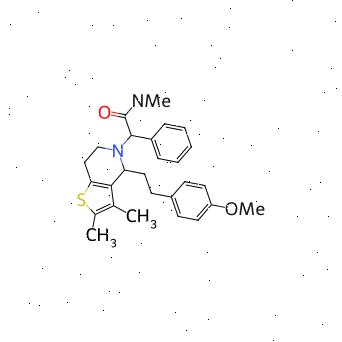 CNC(=O)C(c1ccccc1)N1CCc2sc(C)c(C)c2C1CCc1ccc(OC)cc1